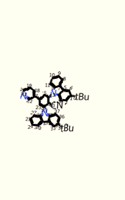 CC(C)(C)c1ccc2c(c1)c1ccccc1n2-c1cc(-c2cccnc2)cc(-n2c3ccccc3c3cc(C(C)(C)C)ccc32)c1C#N